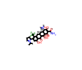 CC(C)N1CCCC1c1cc(O)c2c(c1C(F)(F)F)C[C@H]1C[C@H]3[C@H](N(C)C)C(O)=C(C(N)=O)C(=O)[C@@]3(O)C(O)=C1C2=O